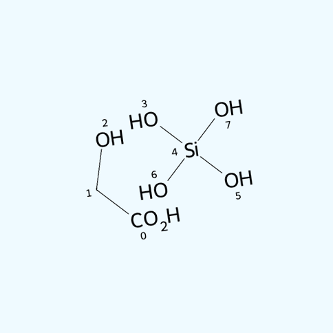 O=C(O)CO.O[Si](O)(O)O